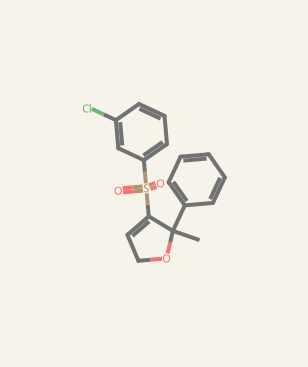 CC1(c2ccccc2)OCC=C1S(=O)(=O)c1cccc(Cl)c1